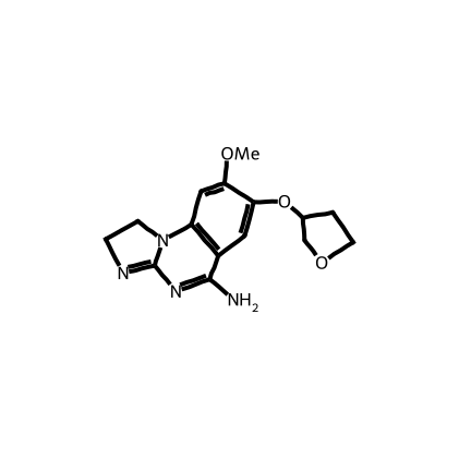 COc1cc2c(cc1OC1CCOC1)C(N)=NC1=NCCN12